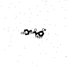 COc1ccc2[nH]nc(C(=O)NCC3CCNCC3)c2c1